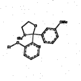 CCOc1cccnc1C1(c2cccc(OC)c2)OCCN1C(C)(C)C